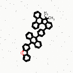 CC1(C)c2cccc(-c3ccc(-c4c5ccccc5c(-c5ccc6oc7ccccc7c6c5)c5ccccc45)cc3)c2-c2c1c1ccccc1c1ccccc21